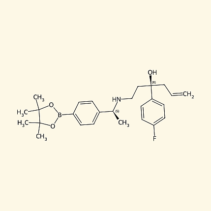 C=CC[C@@](O)(CCN[C@@H](C)c1ccc(B2OC(C)(C)C(C)(C)O2)cc1)c1ccc(F)cc1